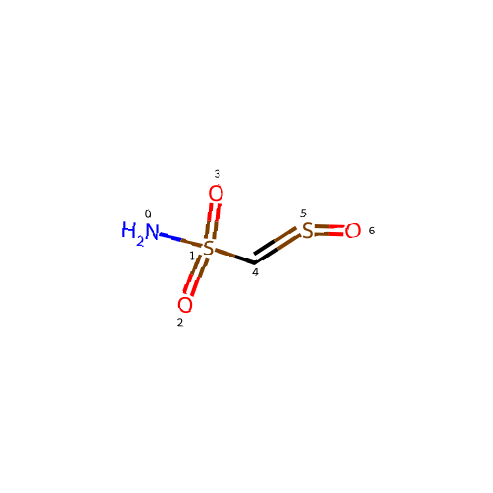 NS(=O)(=O)C=S=O